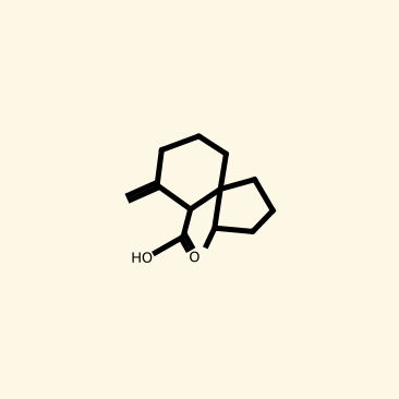 C=C1CCCC2(CCCC2C)C1C(=O)O